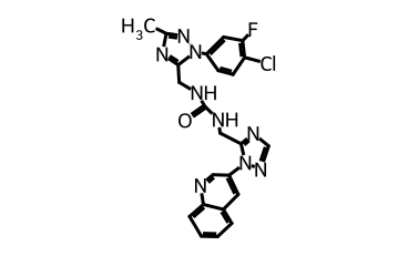 Cc1nc(CNC(=O)NCc2ncnn2-c2cnc3ccccc3c2)n(-c2ccc(Cl)c(F)c2)n1